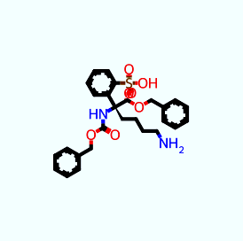 NCCCC[C@](NC(=O)OCc1ccccc1)(C(=O)OCc1ccccc1)c1ccccc1S(=O)(=O)O